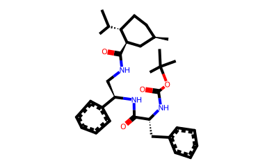 CC(C)[C@@H]1CC[C@@H](C)C[C@H]1C(=O)NC[C@@H](NC(=O)[C@@H](Cc1ccccc1)NC(=O)OC(C)(C)C)c1ccccc1